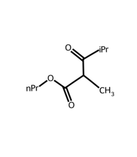 CCCOC(=O)C(C)C(=O)C(C)C